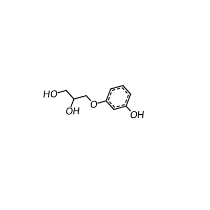 OCC(O)COc1cccc(O)c1